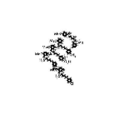 COc1ccc(Cl)cc1CN(C)C(=O)CCCSc1ccc(OC(C)C)cc1.COc1ccc(F)cc1CN(C)C(=O)CCCSc1ccc(C(=O)O)c(C)c1.COc1ccc(F)cc1CN(C)C(=O)CCCSc1ccc(C)cc1.COc1ccc(F)cc1CN(C)C(=O)CCCSc1ccc(Cl)cc1.COc1ccc([S+]([O-])CCCC(=O)N(C)Cc2cc(F)ccc2OC)cc1